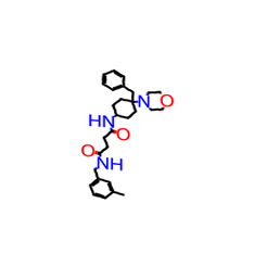 Cc1cccc(CNC(=O)CCC(=O)NC2CCC(Cc3ccccc3)(N3CCOCC3)CC2)c1